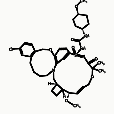 CO[C@H]1/C=C/COC(C)(C)C(=O)N=[S@](=O)(NC(=O)N[C@H]2CC[C@H](OC)CC2)c2ccc3c(c2)N(CCCCc2cc(Cl)ccc2CO3)C[C@@H]2CC[C@H]21